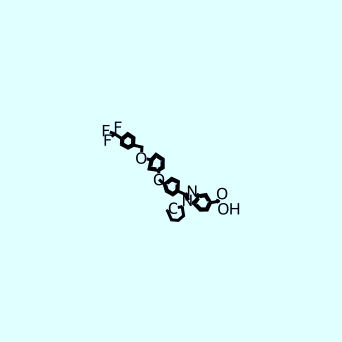 O=C(O)c1ccc2c(c1)nc(-c1ccc(Oc3cccc(OCc4ccc(C(F)(F)F)cc4)c3)cc1)n2C1CCCCC1